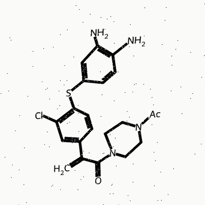 C=C(C(=O)N1CCN(C(C)=O)CC1)c1ccc(Sc2ccc(N)c(N)c2)c(Cl)c1